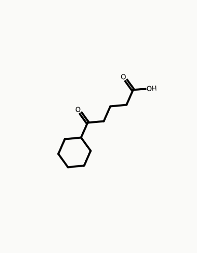 O=C(O)CCCC(=O)C1CCCCC1